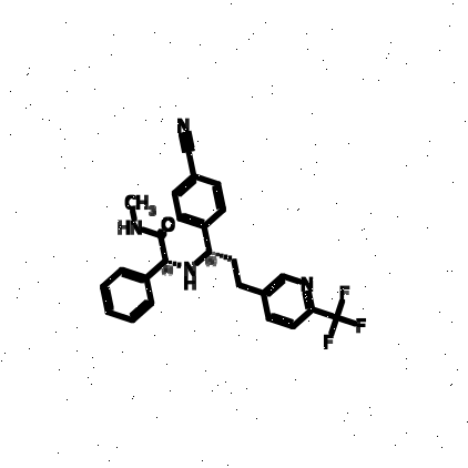 CNC(=O)[C@H](N[C@@H](CCc1ccc(C(F)(F)F)nc1)c1ccc(C#N)cc1)c1ccccc1